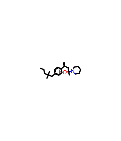 C=C(CC(C)(O)N1CCCCC1)c1ccc(CC(C)(C)CCC)cc1